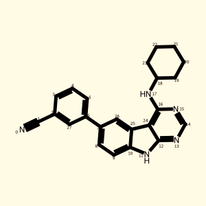 N#Cc1cccc(-c2ccc3[nH]c4ncnc(NC5CCCCC5)c4c3c2)c1